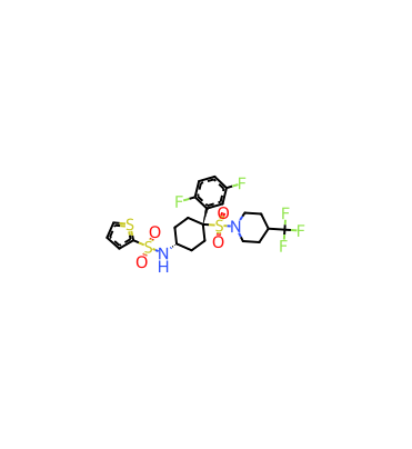 O=S(=O)(N[C@H]1CC[C@@](c2cc(F)ccc2F)(S(=O)(=O)N2CCC(C(F)(F)F)CC2)CC1)c1cccs1